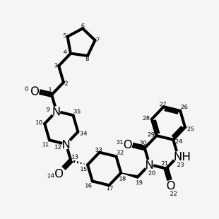 O=C(CCC1CCCC1)N1CCN(C(=O)[C@H]2CC[C@H](Cn3c(=O)[nH]c4ccccc4c3=O)CC2)CC1